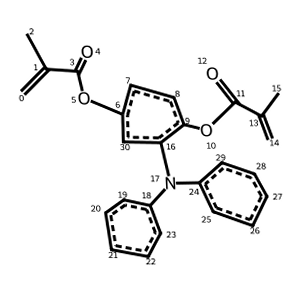 C=C(C)C(=O)Oc1ccc(OC(=O)C(=C)C)c(N(c2ccccc2)c2ccccc2)c1